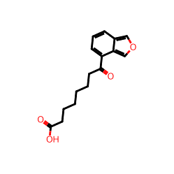 O=C(O)CCCCCCC(=O)c1cccc2cocc12